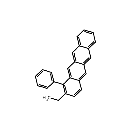 CCc1ccc2cc3cc4ccccc4cc3cc2c1-c1ccccc1